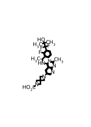 Cc1nc(N[C@H](C)c2cccc(C(F)(F)C(C)(C)O)c2F)c2cc(N3CC4(CN(C(=O)O)C4)C3)cnc2n1